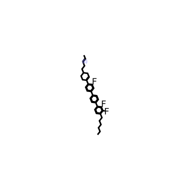 C/C=C/CCC1CC=C(c2ccc(-c3ccc(-c4ccc(CCCCCC)c(F)c4F)cc3)cc2F)CC1